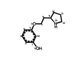 Oc1cccc(OCCC2CCCN2)c1